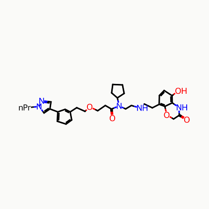 CCCn1cc(-c2cccc(CCOCCC(=O)N(CCNCCc3ccc(O)c4c3OCC(=O)N4)C3CCCC3)c2)cn1